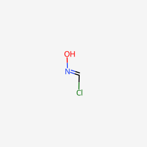 ON=CCl